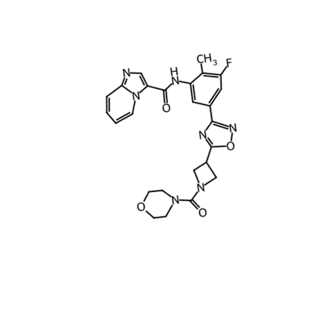 Cc1c(F)cc(-c2noc(C3CN(C(=O)N4CCOCC4)C3)n2)cc1NC(=O)c1cnc2ccccn12